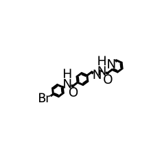 O=C(Nc1ccc(Br)cc1)c1ccc(/C=N/NC(=O)c2ccccn2)cc1